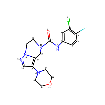 O=C(Nc1ccc(F)c(Cl)c1)N1CCn2ncc(N3CCOCC3)c2C1